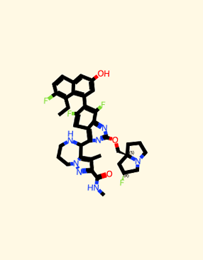 CCc1c(F)ccc2cc(O)cc(-c3c(F)cc4c(C5NCCCn6nc(C(=O)NC)c(C)c65)nc(OC[C@@]56CCCN5C[C@H](F)C6)nc4c3F)c12